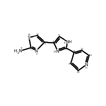 Nc1nc(-c2c[nH]c(-c3ccncc3)n2)cs1